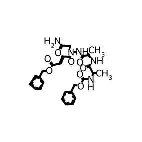 CC(NC(=O)OCc1ccccc1)C(=O)NC(C)C(=O)NN(CC(N)=O)C(=O)/C=C/C(=O)OCc1ccccc1